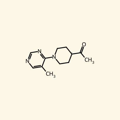 CC(=O)[C]1CCN(c2ncncc2C)CC1